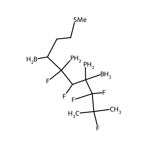 BC(CCSC)C(F)(P)C(F)C(B)(P)C(F)(F)C(C)(C)F